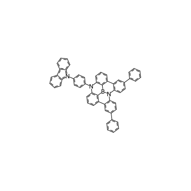 c1ccc(-c2ccc3c(c2)-c2cccc4c2B2c5c(cccc5N4c4ccc(-n5c6ccccc6c6ccccc65)cc4)-c4cc(-c5ccccc5)ccc4N23)cc1